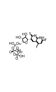 O=P(O)(O)OP(=O)(O)OP(=O)(O)OC[C@H]1O[C@@H](c2cc3c(F)cc(F)[nH]c-3nc2=S)C(O)[C@H]1O